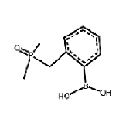 CP(C)(=O)Cc1ccccc1B(O)O